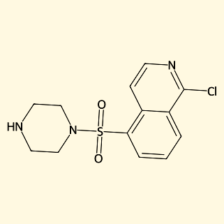 O=S(=O)(c1cccc2c(Cl)nccc12)N1CCNCC1